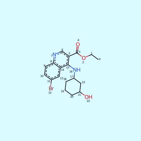 CCOC(=O)c1cnc2ccc(Br)cc2c1NC1CCCC(O)C1